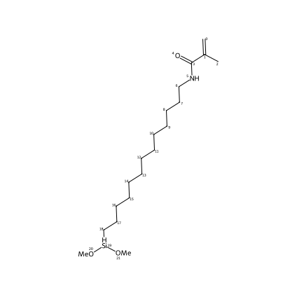 C=C(C)C(=O)NCCCCCCCCCCCCC[SiH](OC)OC